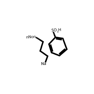 CCCCCCCCCCC[CH2][Na].O=S(=O)(O)c1ccccc1